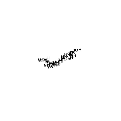 N=C(NCCO)NC(=N)NCCCCCCNC(=N)NC(=N)NCCO